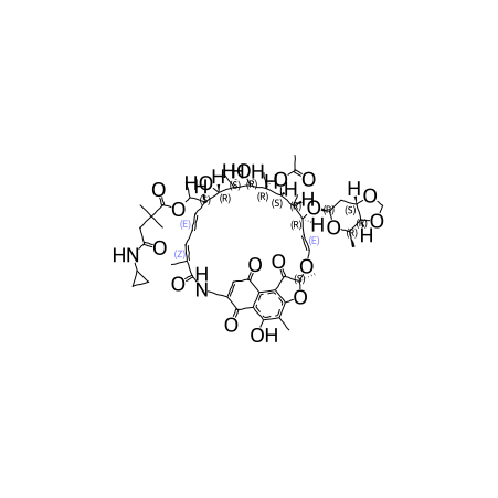 CC(=O)O[C@H]1[C@H](C)[C@H](O)[C@H](C)[C@@H](O)[C@@H](C(C)OC(=O)C(C)(C)CC(=O)NC2CC2)/C=C/C=C(/C)C(=O)NC2=CC(=O)c3c(c(O)c(C)c4c3C(=O)[C@@](C)(O/C=C/[C@H](O[C@H]3C[C@@H]5OCO[C@@H]5[C@@H](C)O3)[C@H]1C)O4)C2=O